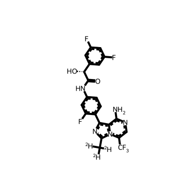 [2H]C([2H])([2H])c1nc(-c2ccc(NC(=O)[C@H](O)c3cc(F)cc(F)c3)cc2F)c2c(N)ncc(C(F)(F)F)n12